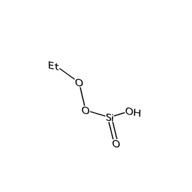 CCOO[Si](=O)O